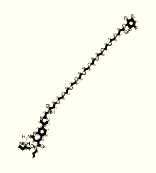 CCCN(OCc1ccn[nH]1)C(=O)C1=Cc2ccc(-c3cnc(CNC(=O)CCOCCOCCOCCOCCOCCOCCOCCOCCOCCOCCC(=O)Oc4c(F)c(F)cc(F)c4F)nc3)cc2N=C(N)C1